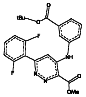 COC(=O)c1nnc(-c2c(F)cccc2F)cc1Nc1cccc(C(=O)OC(C)(C)C)c1